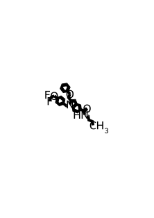 CCCCNC(=O)c1ccc2c(c1)cc(COc1ccccc1)n2Cc1ccc(OC(F)F)cc1